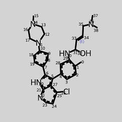 Cc1ccc(-c2c(-c3ccc(N4CCN(C)CC4)cc3)[nH]c3nccc(Cl)c23)cc1NC(O)/C=C/CN(C)C